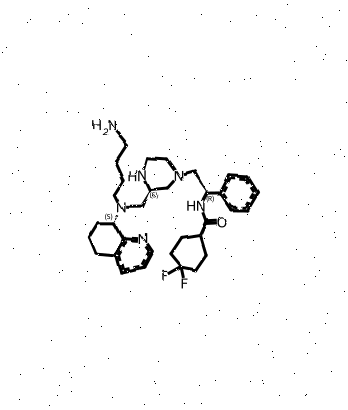 NCCCCN(C[C@@H]1CN(C[C@H](NC(=O)C2CCC(F)(F)CC2)c2ccccc2)CCN1)[C@H]1CCCc2cccnc21